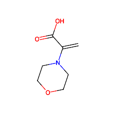 C=C(C(=O)O)N1CCOCC1